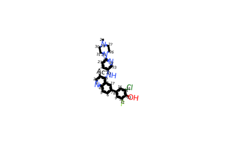 CC(=O)c1cnc2ccc(-c3cc(F)c(O)c(Cl)c3)cc2c1Nc1ccc(N2CCN(C)CC2)nc1